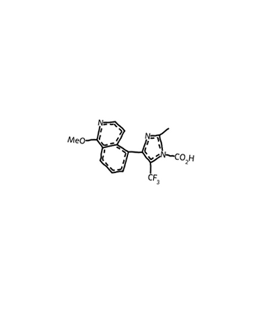 COc1nccc2c(-c3nc(C)n(C(=O)O)c3C(F)(F)F)cccc12